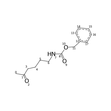 CC(=O)CCCCNC(=O)OCc1ccccc1